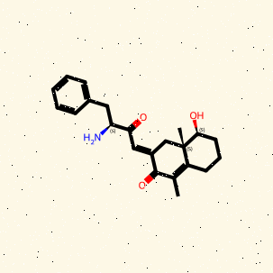 CC1=C2CCC[C@H](O)[C@@]2(C)CC(=CC(=O)[C@@H](N)Cc2ccccc2)C1=O